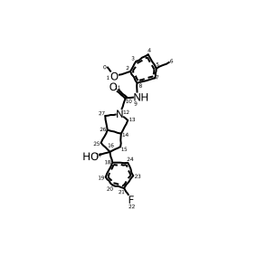 COc1ccc(C)cc1NC(=O)N1CC2CC(O)(c3ccc(F)cc3)CC2C1